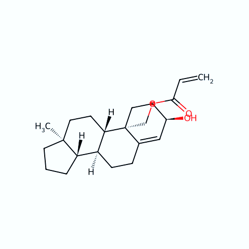 C=CC(=O)OC[C@]12CC[C@@H](O)C=C1CC[C@H]1[C@@H]3CCC[C@@]3(C)CC[C@@H]12